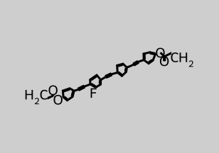 C=CC(=O)Oc1ccc(C#Cc2ccc(C#Cc3ccc(C#Cc4ccc(OC(=O)C=C)cc4)c(F)c3)cc2)cc1